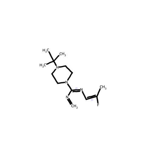 C=N/C(=N\C=C(/C)F)N1CCN(C(C)(C)C)CC1